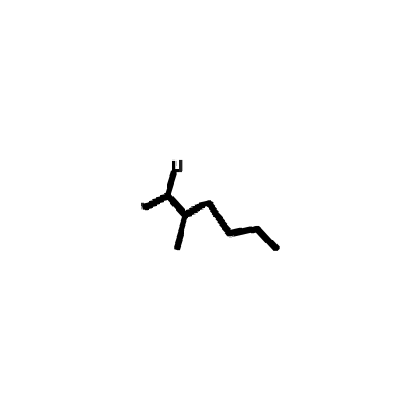 [Li][CH](C)C(C)CCCC